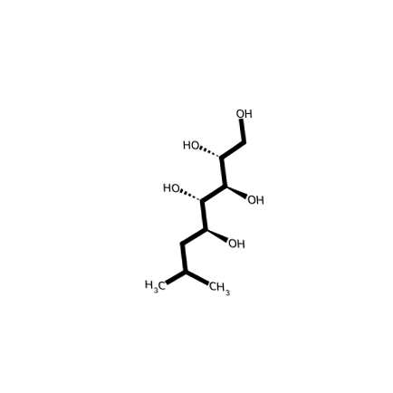 CC(C)C[C@H](O)[C@H](O)[C@H](O)[C@H](O)CO